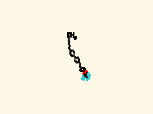 CCCCCCCC[C@H]1CC[C@H]([C@H]2CC[C@H](CCc3ccc(OCC(F)(F)C(F)(F)F)cc3)CC2)CC1